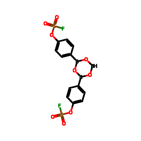 O=S(=O)(F)Oc1ccc(B2OBOB(c3ccc(OS(=O)(=O)F)cc3)O2)cc1